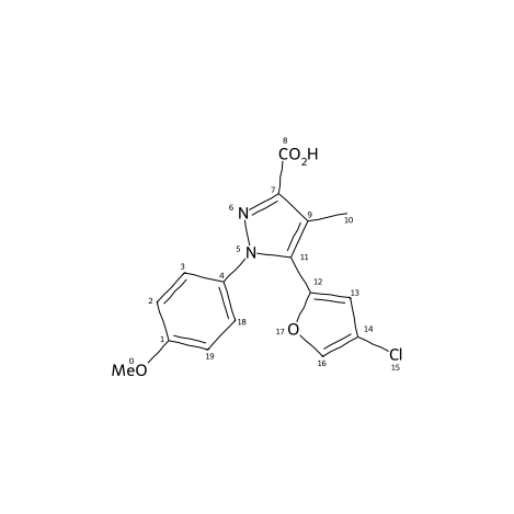 COc1ccc(-n2nc(C(=O)O)c(C)c2-c2cc(Cl)co2)cc1